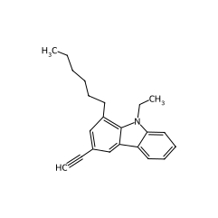 C#Cc1cc(CCCCCC)c2c(c1)c1ccccc1n2CC